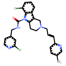 O=C(NCc1ccnc(Cl)c1)n1c2c(c3cccc(Cl)c31)CN(C/C=C/c1ccc(C(F)(F)F)cn1)CC2